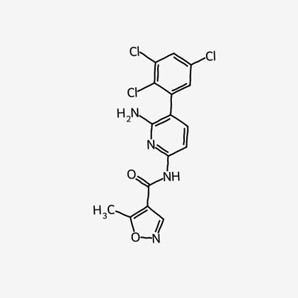 Cc1oncc1C(=O)Nc1ccc(-c2cc(Cl)cc(Cl)c2Cl)c(N)n1